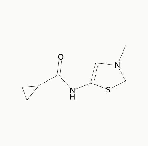 CN1C=C(NC(=O)C2CC2)SC1